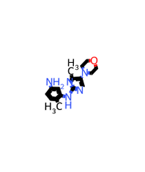 Cc1ccc(N)cc1Nc1ncc(N2CCOCC2)c(C)n1